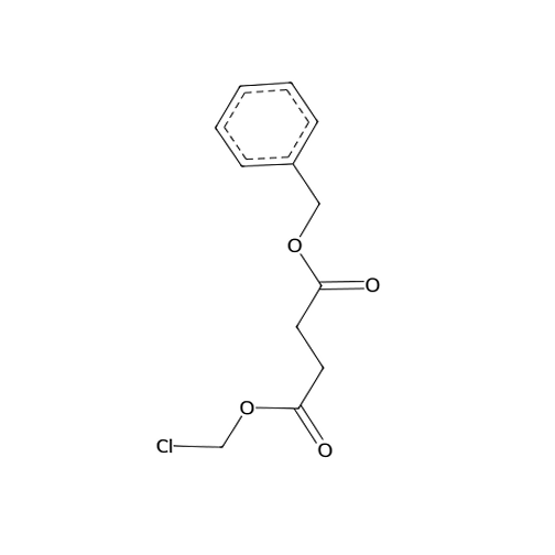 O=C(CCC(=O)OCc1ccccc1)OCCl